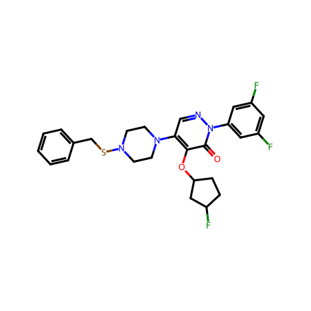 O=c1c(OC2CCC(F)C2)c(N2CCN(SCc3ccccc3)CC2)cnn1-c1cc(F)cc(F)c1